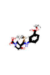 COC(=O)c1cccc(N/C(SC)=C2/CN(C(=O)O)CCC2=O)c1